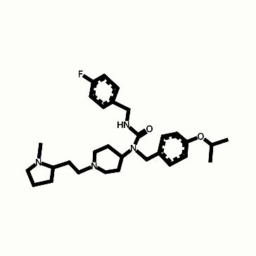 CC(C)Oc1ccc(CN(C(=O)NCc2ccc(F)cc2)C2CCN(CCC3CCCN3C)CC2)cc1